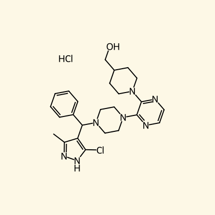 Cc1n[nH]c(Cl)c1C(c1ccccc1)N1CCN(c2nccnc2N2CCC(CO)CC2)CC1.Cl